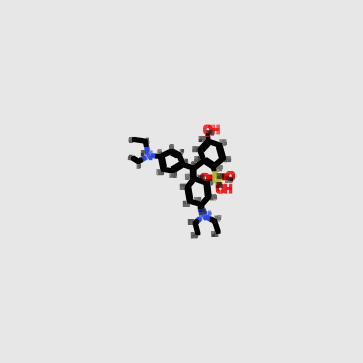 CCN(CC)c1ccc(C(=C2C=CC(=[N+](CC)CC)C=C2)c2cc(O)ccc2S(=O)(=O)O)cc1